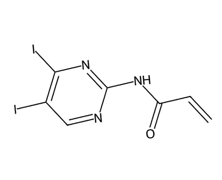 C=CC(=O)Nc1ncc(I)c(I)n1